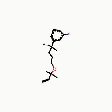 C=CC(C)(C)OCCCC(C)(C(C)=O)c1cccc(I)c1